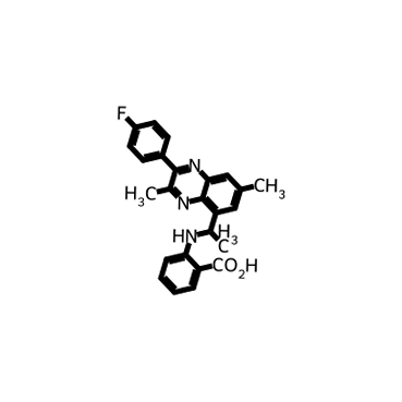 Cc1cc(C(C)Nc2ccccc2C(=O)O)c2nc(C)c(-c3ccc(F)cc3)nc2c1